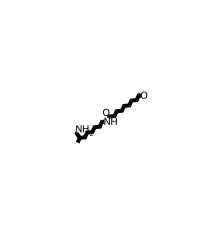 CC(CN)CCCCCCNC(=O)CCCCCCCC=O